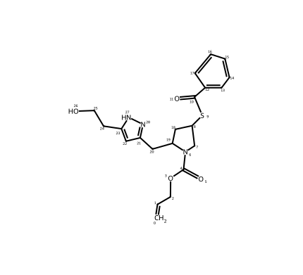 C=CCOC(=O)N1CC(SC(=O)c2ccccc2)CC1Cc1cc(CCO)[nH]n1